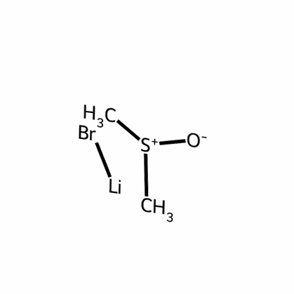 C[S+](C)[O-].[Li][Br]